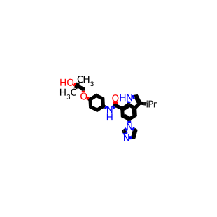 CC(C)c1c[nH]c2c(C(=O)NC3CCC(OCC(C)(C)O)CC3)cc(-n3ccnc3)cc12